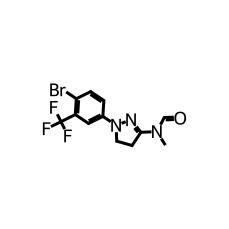 CN(C=O)C1=NN(c2ccc(Br)c(C(F)(F)F)c2)CC1